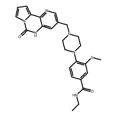 CCNC(=O)c1ccc(N2CCN(Cc3cnc4c(c3)[nH]c(=O)n3cccc43)CC2)c(SC)c1